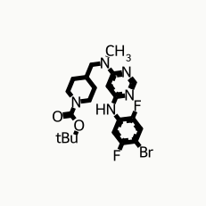 CN(CC1CCN(C(=O)OC(C)(C)C)CC1)c1cc(Nc2cc(F)c(Br)cc2F)ncn1